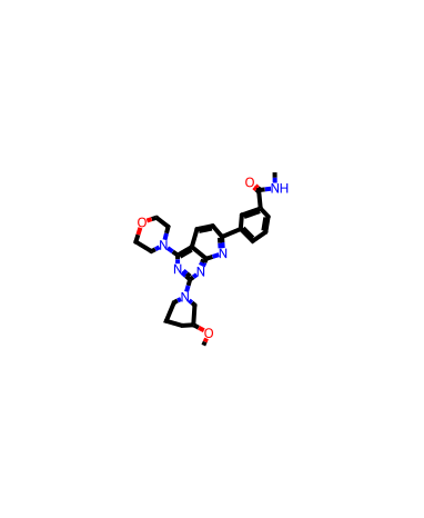 CNC(=O)c1cccc(-c2ccc3c(N4CCOCC4)nc(N4CCCC(OC)C4)nc3n2)c1